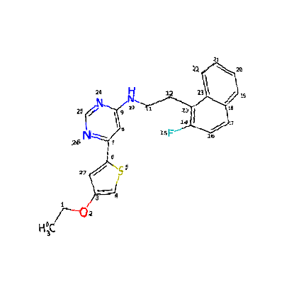 CCOc1csc(-c2cc(NCCc3c(F)ccc4ccccc34)ncn2)c1